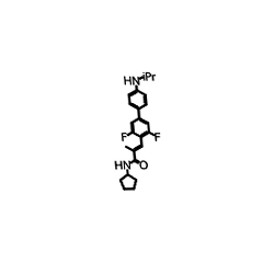 C/C(=C\c1c(F)cc(-c2ccc(NC(C)C)cc2)cc1F)C(=O)NC1CCCC1